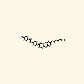 CCCCCCc1ccc(CC2CCC(c3ccc(CCc4ccc(N)cc4)cc3)CC2)cc1